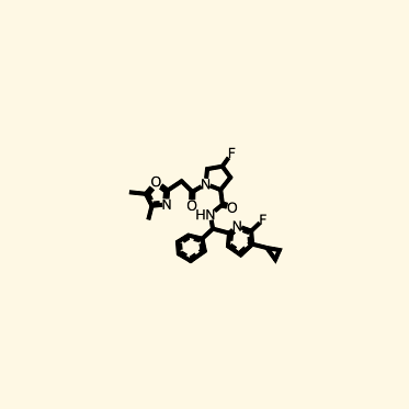 Cc1nc(CC(=O)N2CC(F)CC2C(=O)NC(c2ccccc2)c2ccc(C3CC3)c(F)n2)oc1C